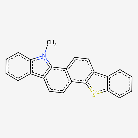 Cn1c2ccccc2c2ccc3c(ccc4c5ccccc5sc43)c21